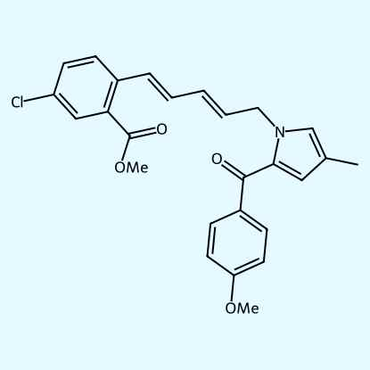 COC(=O)c1cc(Cl)ccc1/C=C/C=C/Cn1cc(C)cc1C(=O)c1ccc(OC)cc1